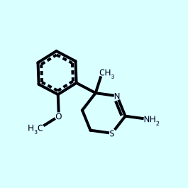 COc1ccccc1C1(C)CCSC(N)=N1